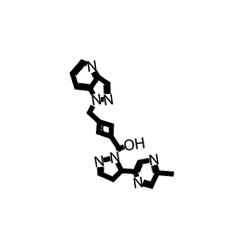 Cc1cnc(C2CC=NN2C(O)C23CC(Cn4ncc5ncccc54)(C2)C3)cn1